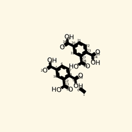 C=C.O=C(O)c1ccc(C(=O)O)c(C(=O)O)c1.O=C(O)c1ccc(C(=O)O)c(C(=O)O)c1